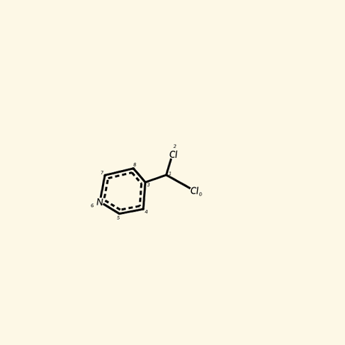 ClC(Cl)c1ccncc1